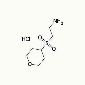 Cl.NCCS(=O)(=O)C1CCOCC1